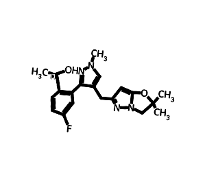 C[C@@H](O)c1ccc(F)cc1-c1nn(C)cc1Cc1cc2n(n1)CC(C)(C)O2